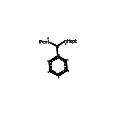 CCCCCCCC(c1[c]cccc1)C(C)CCC